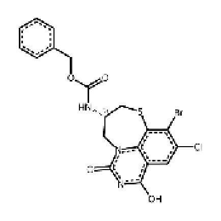 O=C(N[C@@H]1CSc2c(Br)c(Cl)cc3c(O)nc(=O)n(c23)C1)OCc1ccccc1